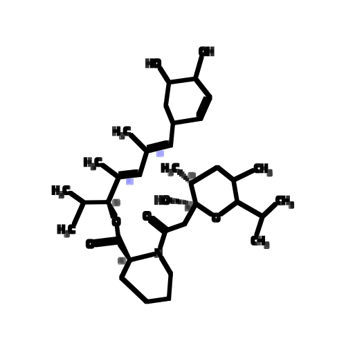 CC(=C\C1C=CC(O)C(O)C1)/C=C(\C)[C@@H](OC(=O)[C@@H]1CCCCN1C(=O)C[C@]1(O)OC(C(C)C)C(C)C[C@H]1C)C(C)C